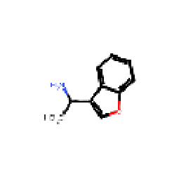 NC(C(=O)O)c1coc2ccccc12